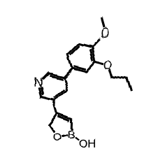 CCCOc1cc(-c2cncc(C3=CB(O)OC3)c2)ccc1OC